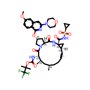 COc1ccc2c(O[C@@H]3C[C@H]4C(=O)N[C@]5(C(=O)NS(=O)(=O)C6CC6)C[C@H]5/C=C\CC[C@@H](C)C[C@@H](C)[C@H](NC(=O)OC(C)(C)C(F)(F)F)C(=O)N4C3)nc(N3CCOCC3)cc2c1